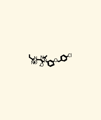 CCc1noc(-c2nc(C)n(-c3cccc(OCc4ccc(Cl)cc4)c3)c2OC)n1